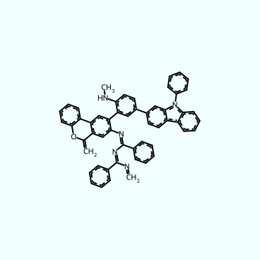 C=N/C(=N\C(=N/c1cc2c(cc1-c1cc(-c3ccc4c5ccccc5n(-c5ccccc5)c4c3)ccc1NC)-c1ccccc1OC2=C)c1ccccc1)c1ccccc1